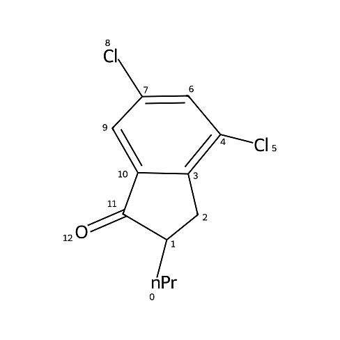 CCCC1Cc2c(Cl)cc(Cl)cc2C1=O